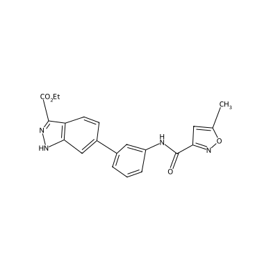 CCOC(=O)c1n[nH]c2cc(-c3cccc(NC(=O)c4cc(C)on4)c3)ccc12